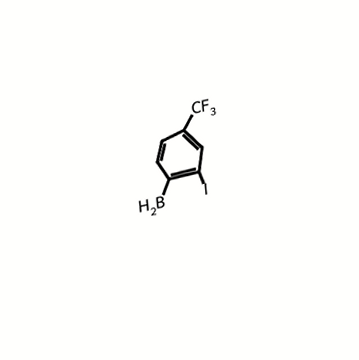 Bc1ccc(C(F)(F)F)cc1I